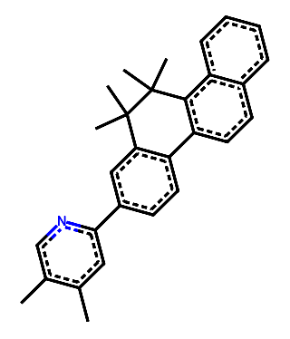 Cc1cnc(-c2ccc3c(c2)C(C)(C)C(C)(C)c2c-3ccc3ccccc23)cc1C